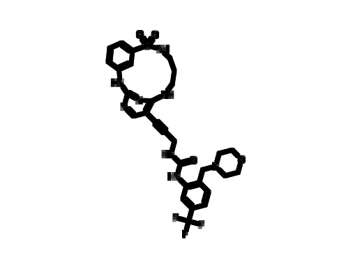 O=C(NCC#Cc1cnc2nc1NCCCNS(=O)(=O)c1cccc(c1)N2)Nc1cc(C(F)(F)F)ccc1CN1CCOCC1